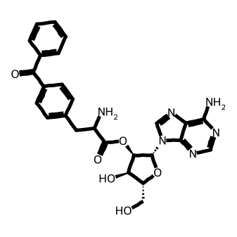 Nc1ncnc2c1ncn2[C@@H]1O[C@H](CO)[C@@H](O)[C@H]1OC(=O)C(N)Cc1ccc(C(=O)c2ccccc2)cc1